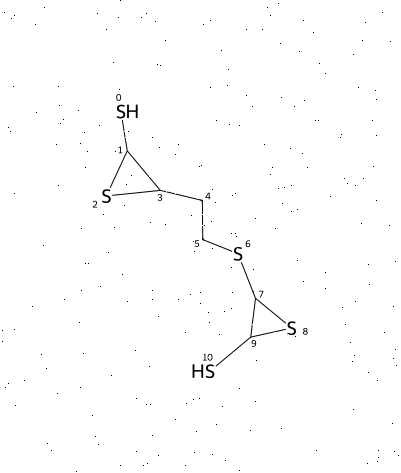 SC1SC1CCSC1SC1S